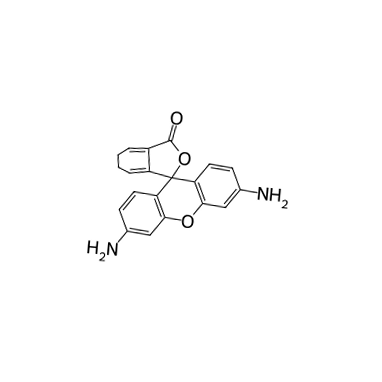 Nc1ccc2c(c1)Oc1cc(N)ccc1C21OC(=O)C2=CCCC=C21